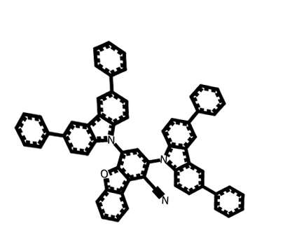 N#Cc1c(-n2c3ccc(-c4ccccc4)cc3c3cc(-c4ccccc4)ccc32)cc(-n2c3ccc(-c4ccccc4)cc3c3cc(-c4ccccc4)ccc32)c2oc3ccccc3c12